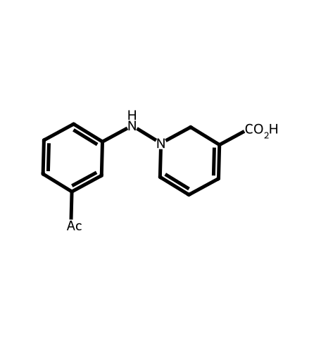 CC(=O)c1cccc(NN2C=CC=C(C(=O)O)C2)c1